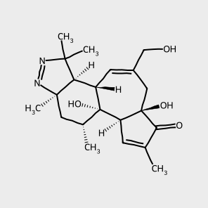 CC1=C[C@H]2[C@@]3(O)[C@H](C)C[C@@]4(C)N=NC(C)(C)[C@H]4[C@@H]3C=C(CO)C[C@]2(O)C1=O